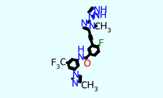 Cc1cn(-c2cc(NC(=O)c3ccc(F)c(C#Cc4cnc(N5C=CNN5)n4C)c3)cc(C(F)(F)F)c2)cn1